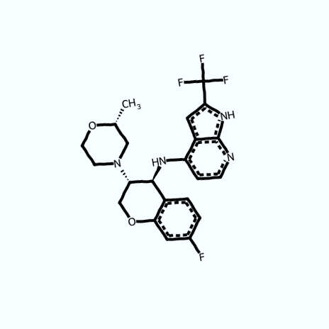 C[C@@H]1CN([C@H]2COc3cc(F)ccc3[C@@H]2Nc2ccnc3[nH]c(C(F)(F)F)cc23)CCO1